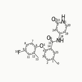 Cc1ccc(Oc2ccc(F)cc2C)c(C(=O)Nc2cc[nH]c(=O)c2)c1